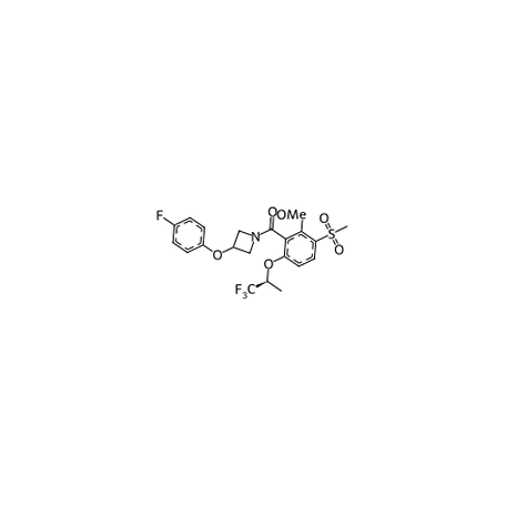 COc1c(S(C)(=O)=O)ccc(O[C@@H](C)C(F)(F)F)c1C(=O)N1CC(Oc2ccc(F)cc2)C1